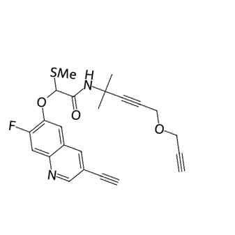 C#CCOCC#CC(C)(C)NC(=O)C(Oc1cc2cc(C#C)cnc2cc1F)SC